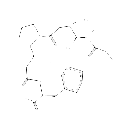 CC[C@H](C)[C@@H]([C@@H](CC(=O)N1CCC[C@H]1[C@H](OC)[C@@H](C)C(=O)N[C@@H](Cc1ccccc1)C(=O)N=O)OC)N(C)C(=O)CC(C)C